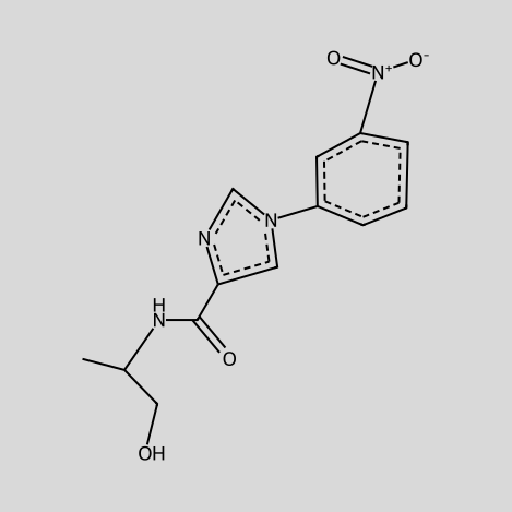 CC(CO)NC(=O)c1cn(-c2cccc([N+](=O)[O-])c2)cn1